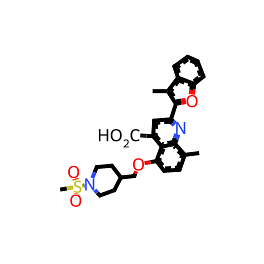 Cc1c(-c2cc(C(=O)O)c3c(OCC4CCN(S(C)(=O)=O)CC4)ccc(C)c3n2)oc2ccccc12